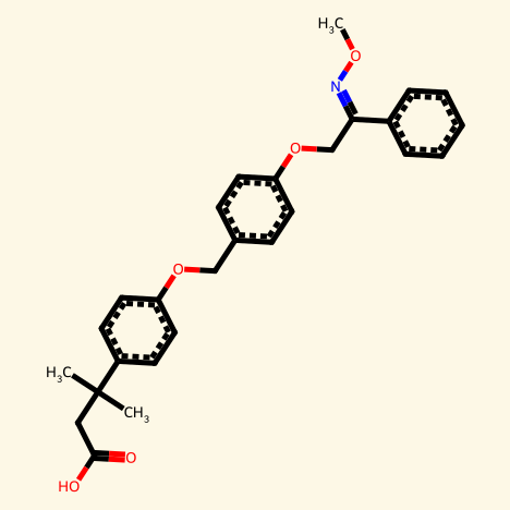 CON=C(COc1ccc(COc2ccc(C(C)(C)CC(=O)O)cc2)cc1)c1ccccc1